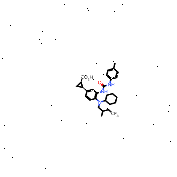 Cc1ccc(NC(=O)Nc2cc([C@H]3C[C@H]3C(=O)O)ccc2N(CC(C)CC(F)(F)F)C2CCCCC2)cc1